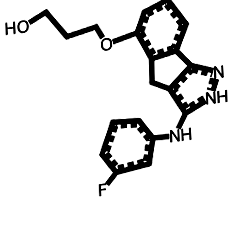 OCCCOc1cccc2c1Cc1c-2n[nH]c1Nc1cccc(F)c1